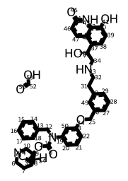 O=C(O[C@H]1CN2CCC1CC2)N(Cc1ccccc1)c1cccc(OCc2cccc(CCNC[C@H](O)c3ccc(O)c4[nH]c(=O)ccc34)c2)c1.O=CO